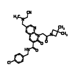 CN(CC#N)Cc1cnc2c(c1)cc(C(=O)NCc1ccc(Cl)cc1)c(=O)n2CC(=O)N1CC(C)(C)C1